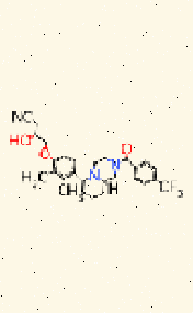 Cc1c(OC[C@@H](O)CC#N)ccc([C@H]2CCC[C@H]3CN(C(=O)c4ccc(C(F)(F)F)cc4)CCN32)c1C